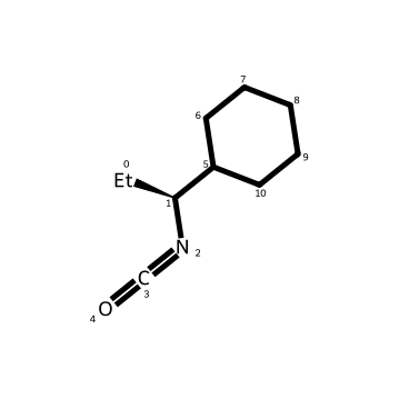 [CH2]C[C@H](N=C=O)C1CCCCC1